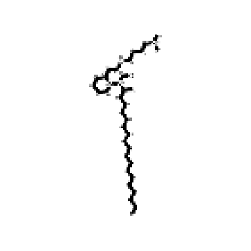 CCCCCCCCCCCCCCCCCC(C)N(C=O)N1CCCCC1CCOCCCCN(C)C